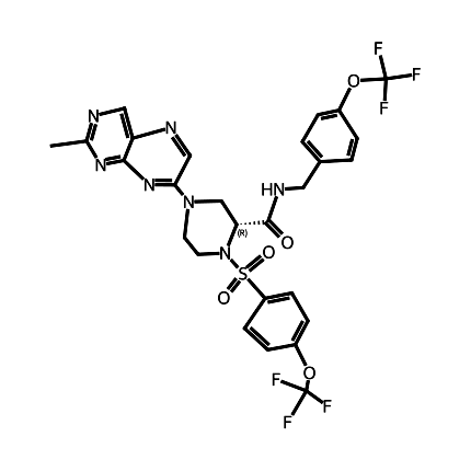 Cc1ncc2ncc(N3CCN(S(=O)(=O)c4ccc(OC(F)(F)F)cc4)[C@@H](C(=O)NCc4ccc(OC(F)(F)F)cc4)C3)nc2n1